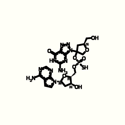 Nc1nc2c(nnn2C2(OP(=O)(S)OC[C@H]3O[C@@H](n4ccc5c(N)ncnc54)C[C@@H]3O)CO[C@H](CO)C2)c(=O)[nH]1